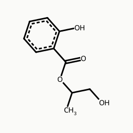 CC(CO)OC(=O)c1ccccc1O